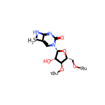 CC(C)(C)OC[C@H]1O[C@@H](n2cc3c(nc2=O)N[SiH2]3)[C@@H](O)[C@@H]1OC(C)(C)C